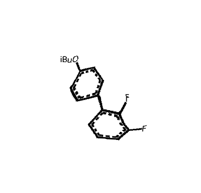 CC(C)COc1ccc(-c2cccc(F)c2F)cc1